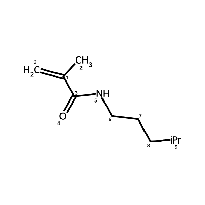 C=C(C)C(=O)NCCCC(C)C